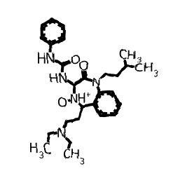 CCN(CC)CCC1c2ccccc2N(CCC(C)C)C(=O)C(NC(=O)Nc2ccccc2)[NH+]1[O-]